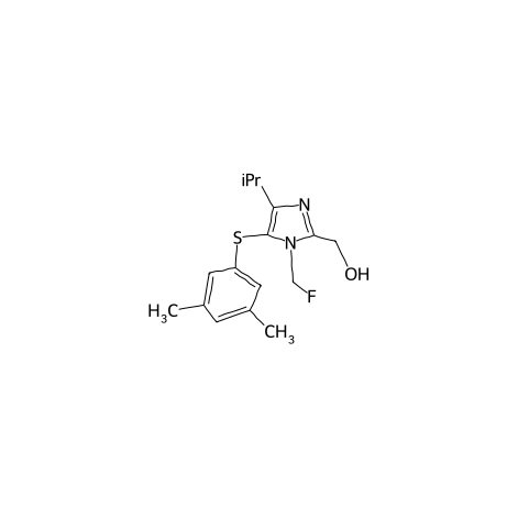 Cc1cc(C)cc(Sc2c(C(C)C)nc(CO)n2CF)c1